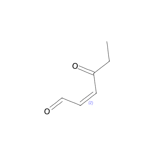 CCC(=O)/C=C\C=O